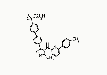 Cc1ccc(-c2cccc(Nc3c(C)noc3-c3ccc(-c4ccc(C5(C(=O)O)CC5)cc4)cc3)n2)cc1